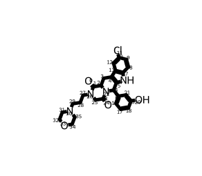 O=C1C2Cc3c([nH]c4ccc(Cl)cc34)C(c3cccc(O)c3)N2C(=O)CN1CCCN1CCOCC1